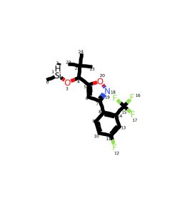 C[SiH](C)OC(c1cc(-c2ccc(F)cc2C(F)(F)F)no1)C(C)(C)C